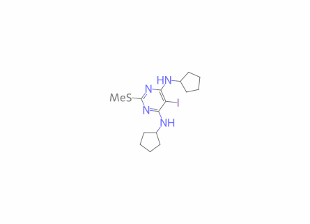 CSc1nc(NC2CCCC2)c(I)c(NC2CCCC2)n1